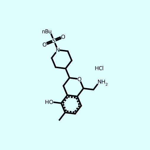 CCCCS(=O)(=O)N1CCC(C2Cc3c(ccc(C)c3O)C(CN)O2)CC1.Cl